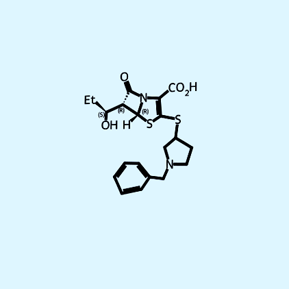 CC[C@H](O)[C@@H]1C(=O)N2C(C(=O)O)=C(SC3CCN(Cc4ccccc4)C3)S[C@H]12